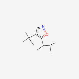 CC(C)C(C)c1oncc1C(C)(C)C